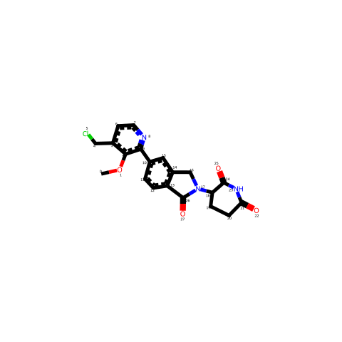 COc1c(CCl)ccnc1-c1ccc2c(c1)CN(C1CCC(=O)NC1=O)C2=O